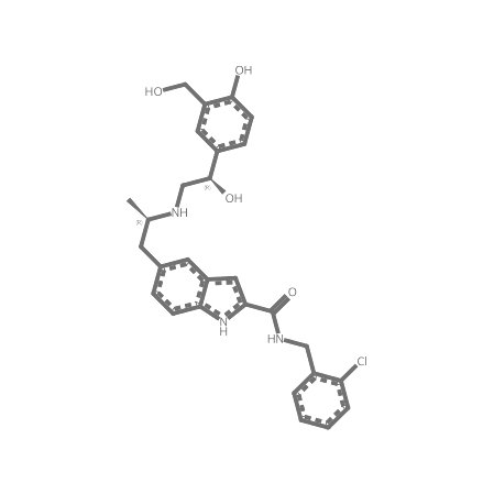 C[C@H](Cc1ccc2[nH]c(C(=O)NCc3ccccc3Cl)cc2c1)NC[C@H](O)c1ccc(O)c(CO)c1